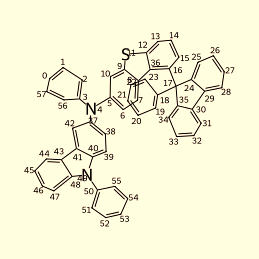 c1ccc(N(c2ccc3c(c2)sc2cccc(C4(c5ccccc5)c5ccccc5-c5ccccc54)c23)c2ccc3c(c2)c2ccccc2n3-c2ccccc2)cc1